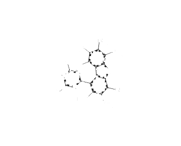 Bc1c(B)c(B)c2c(sc3c(B)c(B)c(B)c(-c4nc(Cl)nc(Cl)n4)c32)c1B